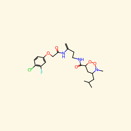 C=C(CCNC(=O)C1CC(CC(C)C)N(C)OO1)NC(=O)COc1ccc(Cl)c(F)c1